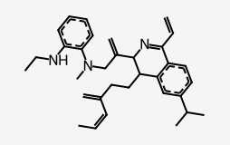 C=CC1=NC(C(=C)CN(C)c2ccccc2NCC)C(CCC(=C)/C=C\C)c2cc(C(C)C)ccc21